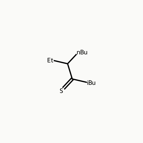 [CH2]C(CC)C(=S)C(CC)CCCC